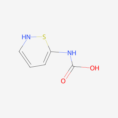 O=C(O)NC1=CC=CNS1